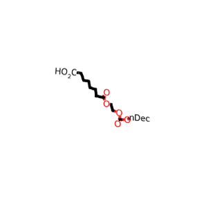 CCCCCCCCCCOC(=O)OCCOC(=O)CCCCCCC(=O)O